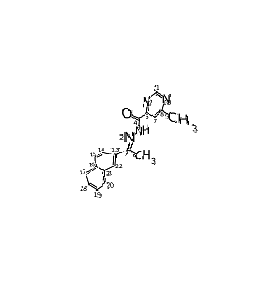 C/C(=N\NC(=O)c1cc(C)ncn1)c1ccc2ccccc2c1